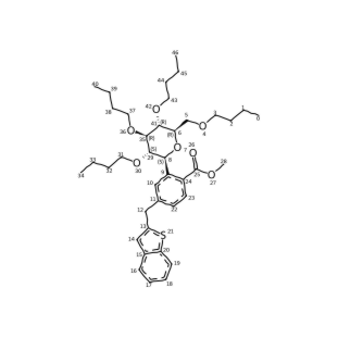 CCCCOC[C@H]1O[C@@H](c2cc(Cc3cc4ccccc4s3)ccc2C(=O)OC)[C@H](OCCCC)[C@@H](OCCCC)[C@@H]1OCCCC